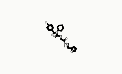 O=C(CSc1nnc(-c2ccc(F)cc2)n1C1CCCCC1)N/N=C/c1ccco1